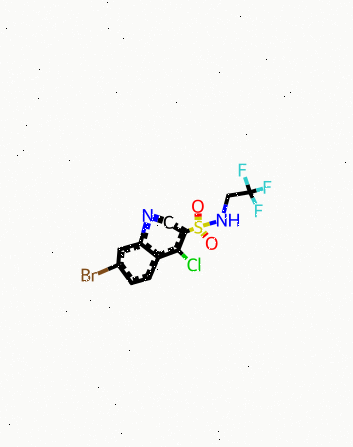 O=S(=O)(NCC(F)(F)F)c1cnc2cc(Br)ccc2c1Cl